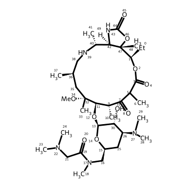 CC[C@H]1OC(=O)C(C)C(=O)[C@H](C)[C@@H](O[C@@H]2O[C@H](CN(C)C(=O)CN(C)C)C[C@H](N(C)C)[C@H]2O)[C@](C)(OC)C[C@@H](C)CN[C@H](C)[C@H]2NC(=O)O[C@@]21C